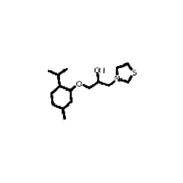 CC1CCC(C(C)C)C(OCC(O)CN2CCSC2)C1